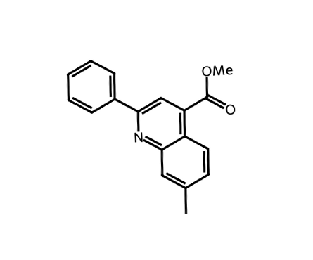 COC(=O)c1cc(-c2ccccc2)nc2cc(C)ccc12